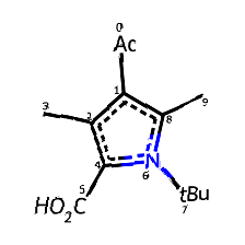 CC(=O)c1c(C)c(C(=O)O)n(C(C)(C)C)c1C